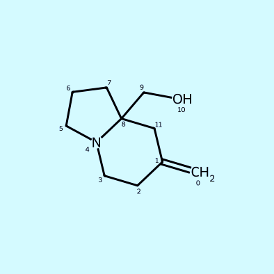 C=C1CCN2CCCC2(CO)C1